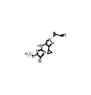 COc1nc(Nc2cn([C@@H]3CC3C#N)nc2C2CC2)ncc1Br